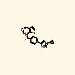 C[C@@H](c1ccc(-c2cn(C3CC3)nn2)cc1)N1CN=Cc2ccsc21